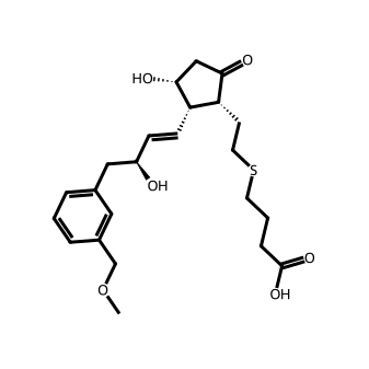 COCc1cccc(C[C@H](O)/C=C/[C@@H]2[C@H](O)CC(=O)[C@@H]2CCSCCCC(=O)O)c1